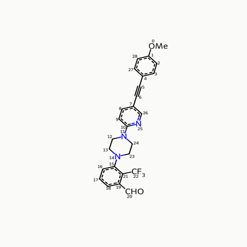 COc1ccc(C#Cc2ccc(N3CCN(c4cccc(C=O)c4C(F)(F)F)CC3)nc2)cc1